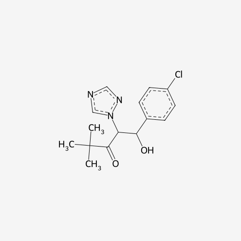 CC(C)(C)C(=O)C(C(O)c1ccc(Cl)cc1)n1cncn1